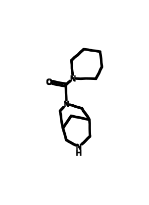 O=C(N1CCCCC1)N1CC2CNCC(C2)C1